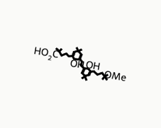 COC(C)(C)CCCC1=CC(C)(C)C=C(CCC2=CC(C)(C)C=C(CCCC(C)(C)C(=O)O)C2O)C1O